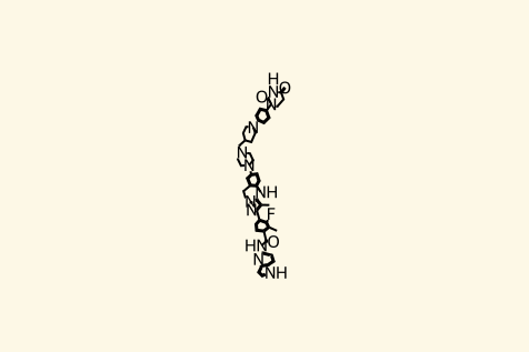 Cc1c(C(=O)Nc2ccc3[nH]ccc3n2)ccc(-c2nn3c(c2C)Nc2ccc(N4CCN(CC5CCN(c6ccc(N7CCC(=O)NC7=O)cc6)CC5)CC4)cc2CC3)c1F